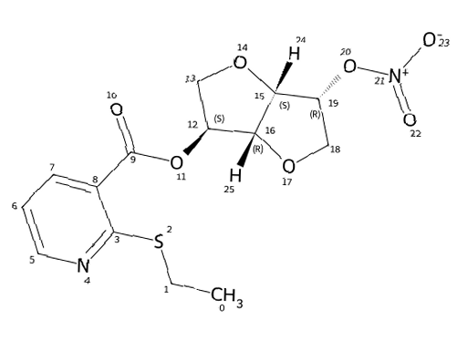 CCSc1ncccc1C(=O)O[C@H]1CO[C@H]2[C@@H]1OC[C@H]2O[N+](=O)[O-]